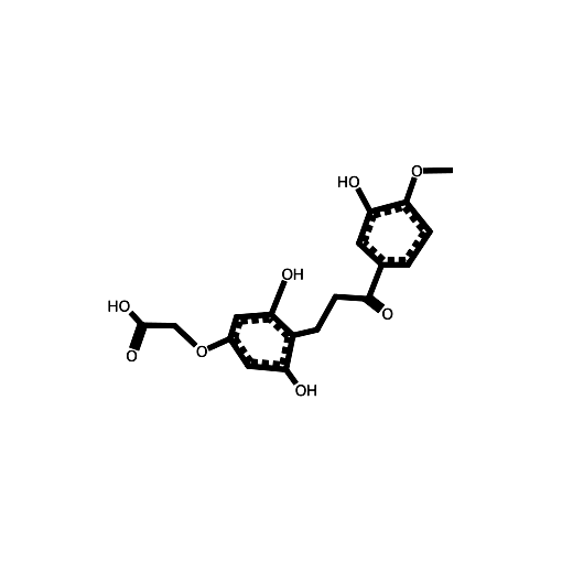 COc1ccc(C(=O)CCc2c(O)cc(OCC(=O)O)cc2O)cc1O